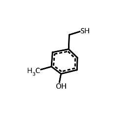 Cc1cc(CS)ccc1O